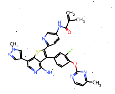 C=C(C)C(=O)Nc1ccc(-c2sc3c(-c4cnn(C)c4)cnc(N)c3c2-c2ccc(Oc3nccc(C)n3)c(F)c2)nc1